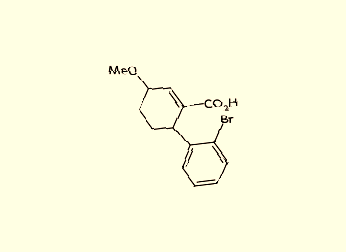 COC1C=C(C(=O)O)C(c2ccccc2Br)CC1